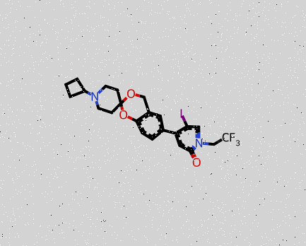 O=c1cc(-c2ccc3c(c2)COC2(CCN(C4CCC4)CC2)O3)c(I)cn1CC(F)(F)F